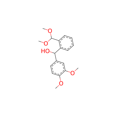 COc1ccc(C(O)c2ccccc2C(OC)OC)cc1OC